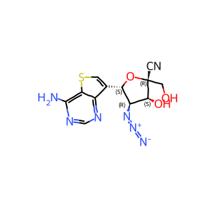 N#C[C@]1(CO)O[C@@H](c2csc3c(N)ncnc23)[C@H](N=[N+]=[N-])[C@@H]1O